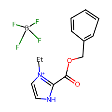 CC[n+]1cc[nH]c1C(=O)OCc1ccccc1.F[B-](F)(F)F